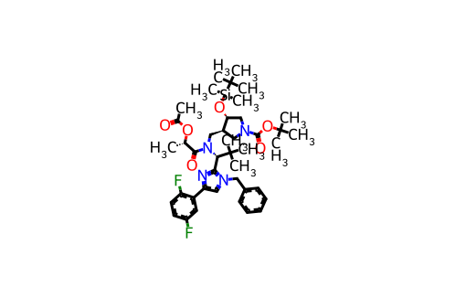 CC(=O)O[C@@H](C)C(=O)N(C[C@@H]1CN(C(=O)OC(C)(C)C)C[C@H]1O[Si](C)(C)C(C)(C)C)[C@@H](c1nc(-c2cc(F)ccc2F)cn1Cc1ccccc1)C(C)(C)C